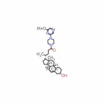 COc1cncc(N2CCN(C(=O)CCC(C)[C@H]3CC[C@H]4[C@@H]5CC=C6C[C@@H](O)CC[C@]6(C)[C@H]5CC[C@]34C)CC2)n1